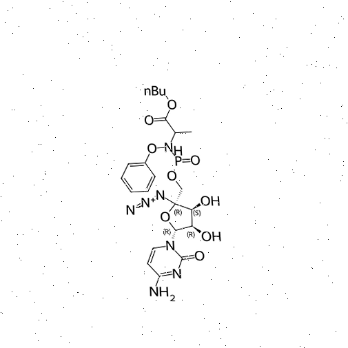 CCCCOC(=O)C(C)N(Oc1ccccc1)[PH](=O)OC[C@@]1(N=[N+]=[N-])O[C@@H](n2ccc(N)nc2=O)[C@H](O)[C@@H]1O